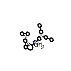 C=C(/C=C\C(=C)c1ccccc2cccc(-c3ccc(-n4c5ccccc5c5ccccc54)cc3)c2oc1)c1ccc(N(c2ccc(-c3ccccc3)cc2)c2ccc(-c3ccccc3)cc2)cc1